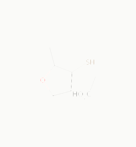 CC(=O)O.CC1OCCC1S